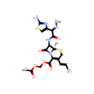 CO/N=C(/C(=O)NC1C(=O)N2C(C(=O)OCOC(=O)C(C)(C)C)=C(/C=C/C(F)(F)F)CS[C@H]12)c1csc(N)n1